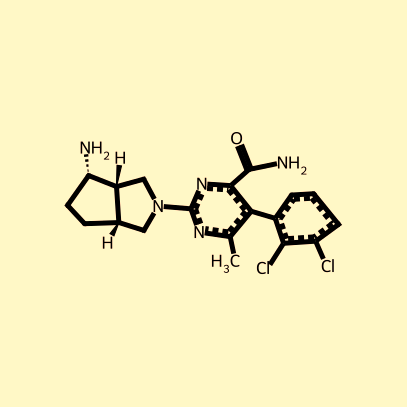 Cc1nc(N2C[C@@H]3CC[C@H](N)[C@@H]3C2)nc(C(N)=O)c1-c1cccc(Cl)c1Cl